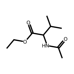 CCOC(=O)C(NC(C)=O)C(C)C